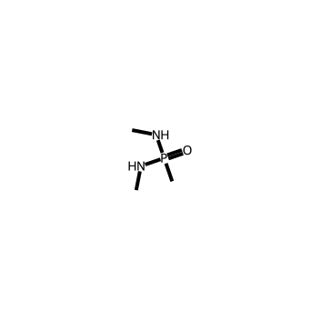 CNP(C)(=O)NC